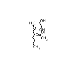 CC(=O)O.CCCCCCOCC.OCCO